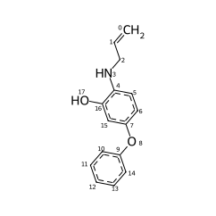 C=CCNc1ccc(Oc2ccccc2)cc1O